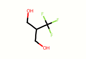 OCC(CO)C(F)(F)F